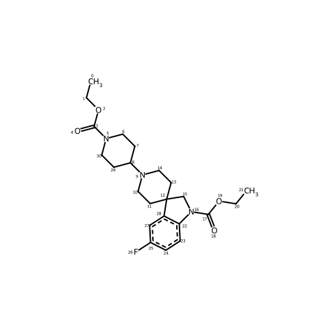 CCOC(=O)N1CCC(N2CCC3(CC2)CN(C(=O)OCC)c2ccc(F)cc23)CC1